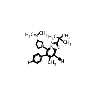 Cc1c(-c2ccc(F)cc2)c(N2CC[C@H](N(C)C)C2)n2nc(C(C)(C)C)nc2c1C#N